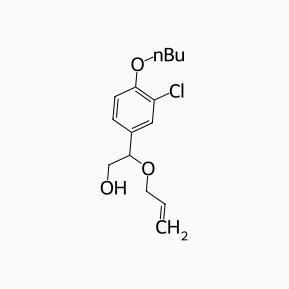 C=CCOC(CO)c1ccc(OCCCC)c(Cl)c1